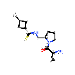 CCCC[C@H]1C[C@H](C(=S)NC[C@H]2CCCN2C(=O)[C@@H](N)C(C)(C)C)C1